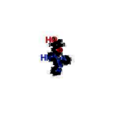 Cc1c(C)c2c(c(C)c1O)CCC(C)(CN1CCNCC1c1cc(-c3ccccn3)nc(-c3ccccn3)n1)O2